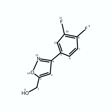 OCc1cc(-c2ccc(F)c(F)c2)no1